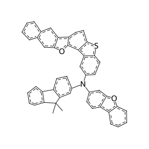 CC1(C)c2ccccc2-c2ccc(N(c3ccc4c(c3)oc3ccccc34)c3ccc4sc5ccc6c7cc8ccccc8cc7oc6c5c4c3)cc21